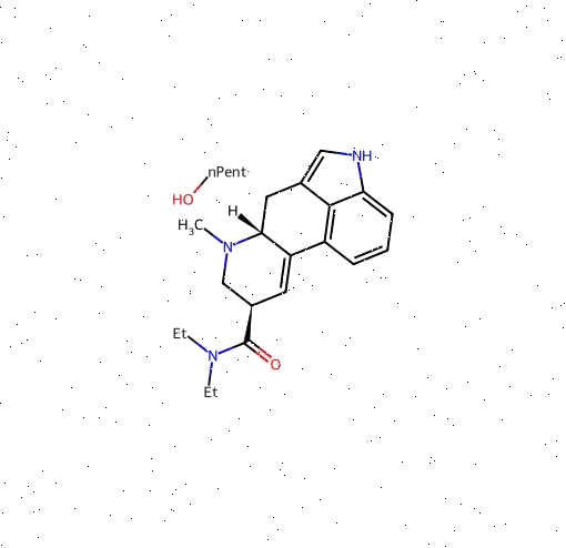 CCCC[CH]O.CCN(CC)C(=O)[C@@H]1C=C2c3cccc4[nH]cc(c34)C[C@H]2N(C)C1